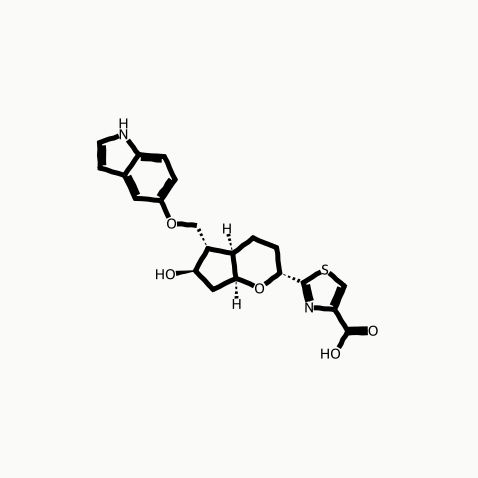 O=C(O)c1csc([C@H]2CC[C@@H]3[C@@H](COc4ccc5[nH]ccc5c4)[C@H](O)C[C@@H]3O2)n1